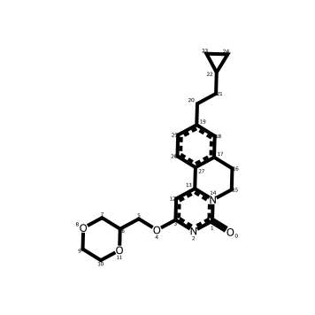 O=c1nc(OCC2COCCO2)cc2n1CCc1cc(CCC3CC3)ccc1-2